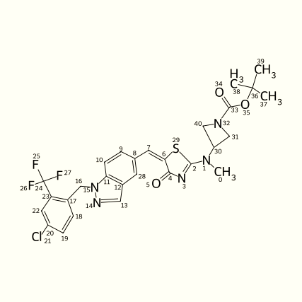 CN(C1=NC(=O)C(=Cc2ccc3c(cnn3Cc3ccc(Cl)cc3C(F)(F)F)c2)S1)C1CN(C(=O)OC(C)(C)C)C1